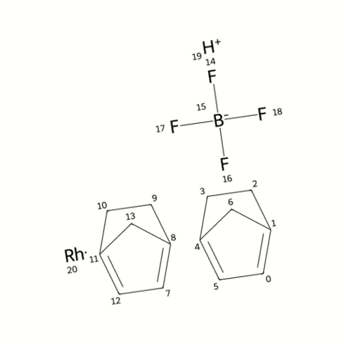 C1=C2CCC(=C1)C2.C1=C2CCC(=C1)C2.F[B-](F)(F)F.[H+].[Rh]